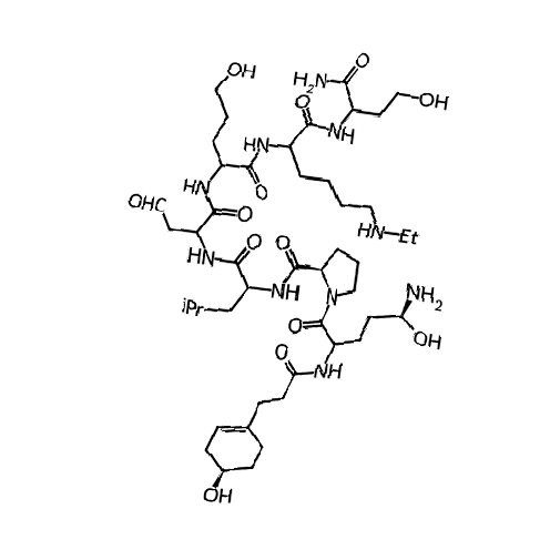 CCNCCCCC(NC(=O)C(CCCO)NC(=O)C(CC=O)NC(=O)C(CC(C)C)NC(=O)[C@H]1CCCN1C(=O)C(CC[C@@H](N)O)NC(=O)CCC1=CC[C@H](O)CC1)C(=O)NC(CCO)C(N)=O